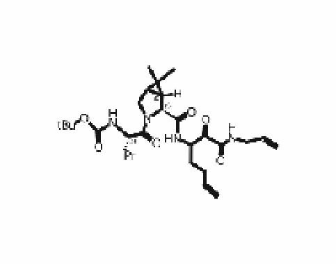 C=CCCC(NC(=O)[C@@H]1[C@@H]2C(CN1C(=O)[C@@H](NC(=O)OC(C)(C)C)C(C)C)C2(C)C)C(=O)C(=O)NCC=C